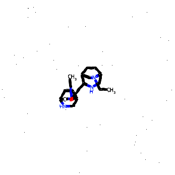 CCN1CC2CCC1CNC2C1C2CCC(CN1C)NC2